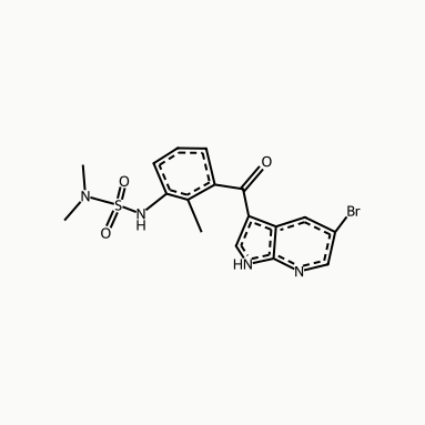 Cc1c(NS(=O)(=O)N(C)C)cccc1C(=O)c1c[nH]c2ncc(Br)cc12